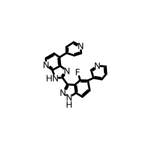 Fc1c(-c2cccnc2)ccc2[nH]nc(-c3nc4c(-c5ccncc5)ccnc4[nH]3)c12